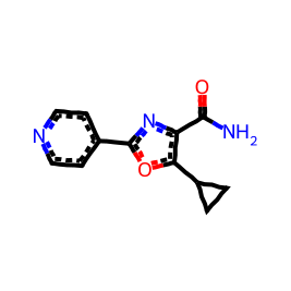 NC(=O)c1nc(-c2ccncc2)oc1C1CC1